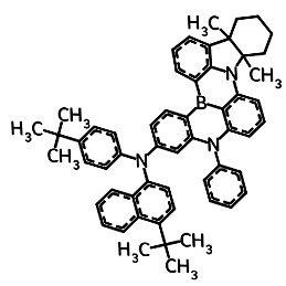 CC(C)(C)c1ccc(N(c2ccc3c(c2)N(c2ccccc2)c2cccc4c2B3c2cccc3c2N4C2(C)CCCCC32C)c2ccc(C(C)(C)C)c3ccccc23)cc1